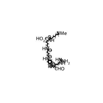 CNCCCCCC(=O)NC(CCCCNC(=O)CCCC(=O)Nc1ccc(S(=O)(=O)N[C@H](C=O)CCCNC(=N)N)cc1)C(=O)O